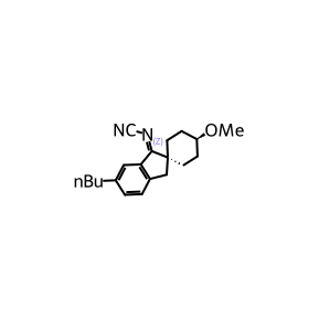 CCCCc1ccc2c(c1)/C(=N\C#N)[C@]1(CC[C@H](OC)CC1)C2